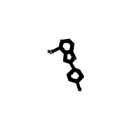 Nc1ncnc2oc(-c3ccc(Cl)cc3)cc12